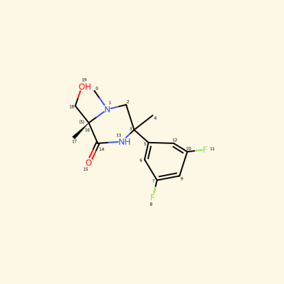 CN1CC(C)(c2cc(F)cc(F)c2)NC(=O)[C@]1(C)CO